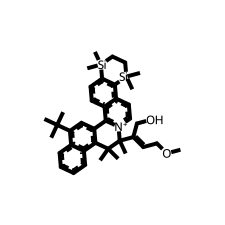 COC/C=C(\CO)C1(C)[n+]2ccc3c4c(ccc3c2-c2cc(C(C)(C)C)c3ccccc3c2C1(C)C)[Si](C)(C)CC[Si]4(C)C